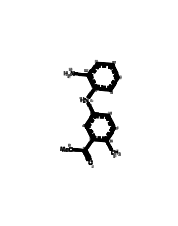 COC(=O)c1cc(Nc2ccccc2N)ccc1C